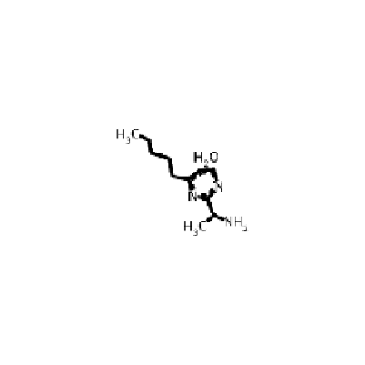 CCCCCc1ccnc(C(C)N)n1.O